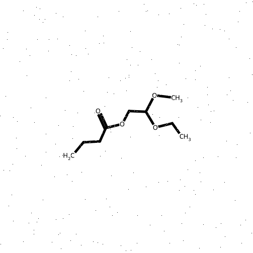 [CH2]CCC(=O)OCC(OC)OCC